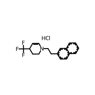 Cl.FC(F)(F)C1C=CN(CCc2ccc3ccccc3c2)CC1